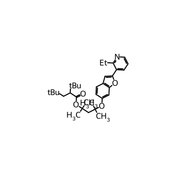 CCc1ncccc1-c1cc2ccc(OC(C)(C)CC(C)(C)OC(=O)C(CC(C)(C)C)C(C)(C)C)cc2o1